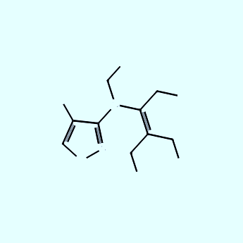 CCC(CC)=C(CC)N(CC)c1nocc1C